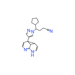 N#CCCC(C1CCCC1)n1cc(C23C=CN=C4NC=CC2C43)cn1